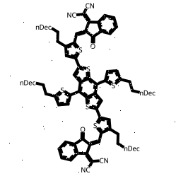 CCCCCCCCCCCCc1ccc(-c2c3cc(-c4cc(CCCCCCCCCCCC)c(/C=C5\C(=O)c6ccccc6C5=C(C#N)C#N)s4)sc3c(-c3ccc(CCCCCCCCCCCC)s3)c3cc(-c4cc(CCCCCCCCCCCC)c(/C=C5\C(=O)c6ccccc6C5=C(C#N)C#N)s4)sc23)s1